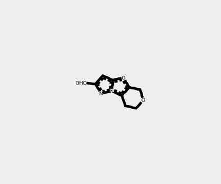 O=Cc1cc2oc3c(n2n1)CCOC3